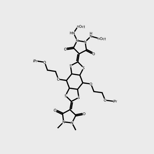 CCCCCCCCNN1C(=O)C(=C2SC3C(OCCOC(C)C)C4SC(=C5C(=O)N(C)N(C)C5=O)SC4C(OCCOC(C)C)C3S2)C(=O)N1NCCCCCCCC